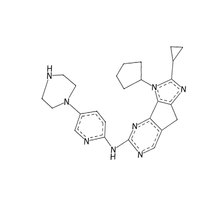 c1cc(Nc2ncc3c(n2)-c2c(nc(C4CC4)n2C2CCCC2)C3)ncc1N1CCNCC1